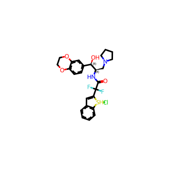 O=C(N[C@H](CN1CCCC1)[C@H](O)c1ccc2c(c1)OCCO2)C(F)(F)C1=Cc2ccccc2[SH]1Cl